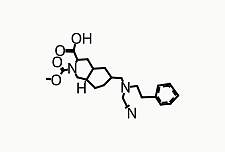 COC(=O)N1C[C@@H]2CCC(CN(CC#N)CCc3ccccc3)CC2CC1C(=O)O